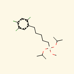 CO[Si](CCCCCc1cc(F)c(F)cc1F)(OC(C)C)OC(C)C